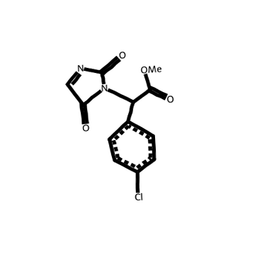 COC(=O)C(c1ccc(Cl)cc1)N1C(=O)C=NC1=O